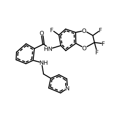 O=C(Nc1cc2c(cc1F)OC(F)C(F)(F)O2)c1ccccc1NCc1ccncc1